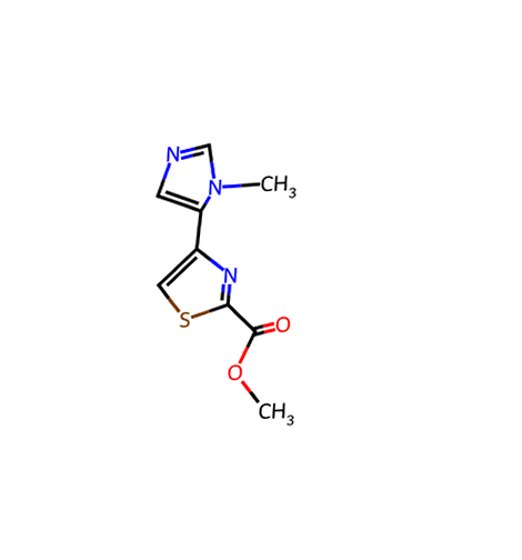 COC(=O)c1nc(-c2cncn2C)cs1